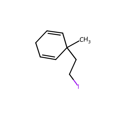 CC1(CCI)C=CCC=C1